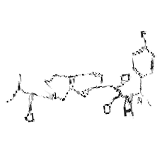 CC(C)C(=O)N1CCc2ccc(S(=O)(=O)N[C@@H](C)c3ccc(F)cc3)cc2C1